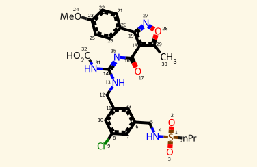 CCCS(=O)(=O)NCc1cc(Cl)cc(CN/C(=N\C(=O)c2c(-c3ccc(OC)cc3)noc2C)NC(=O)O)c1